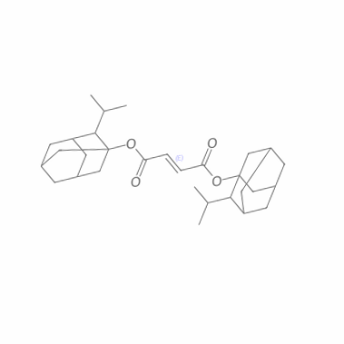 CC(C)C1C2CC3CC(C2)CC1(OC(=O)/C=C/C(=O)OC12CC4CC(CC(C4)C1C(C)C)C2)C3